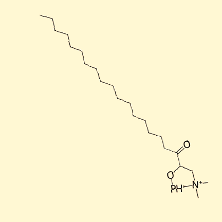 CCCCCCCCCCCCCCCCCC(=O)C(C[N+](C)(C)C)O[PH-]